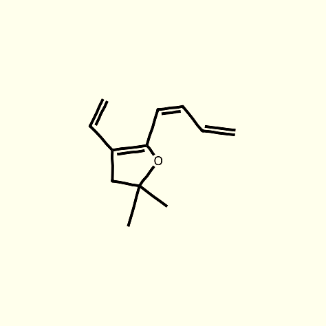 C=C/C=C\C1=C(C=C)CC(C)(C)O1